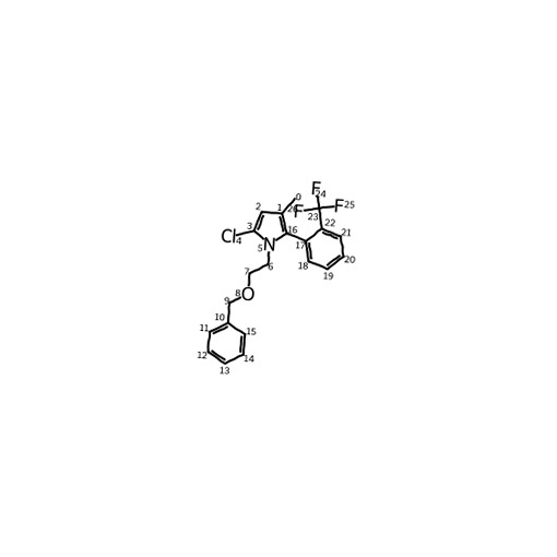 Cc1cc(Cl)n(CCOCc2ccccc2)c1-c1ccccc1C(F)(F)F